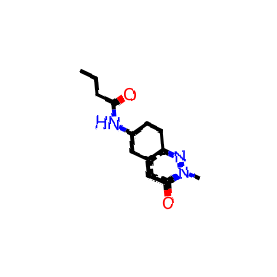 CCCC(=O)NC1CCc2nn(C)c(=O)cc2C1